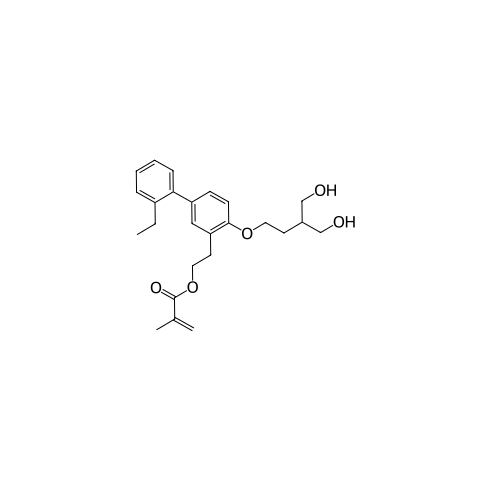 C=C(C)C(=O)OCCc1cc(-c2ccccc2CC)ccc1OCCC(CO)CO